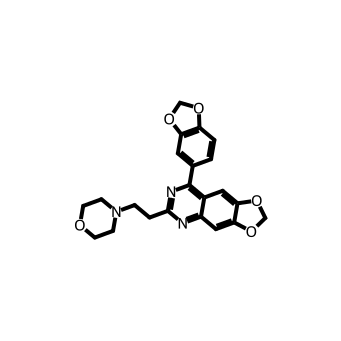 c1cc2c(cc1-c1nc(CCN3CCOCC3)nc3cc4c(cc13)OCO4)OCO2